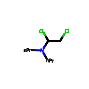 CCCN(CCC)C(Cl)CCl